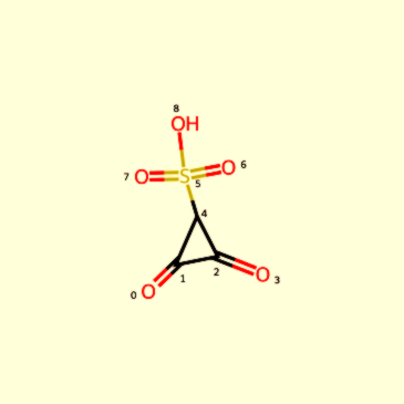 O=C1C(=O)C1S(=O)(=O)O